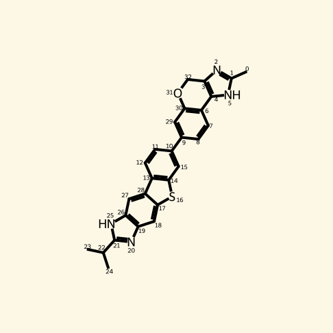 Cc1nc2c([nH]1)-c1ccc(-c3ccc4c(c3)sc3cc5nc(C(C)C)[nH]c5cc34)cc1OC2